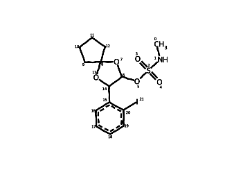 CNS(=O)(=O)OC1OC2(CCCC2)OC1c1ccccc1I